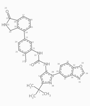 CC(C)(C)c1cc(NC(=O)Nc2cc(-c3cccc4c3CNC4=O)ccc2F)n(-c2ccc3ocnc3c2)n1